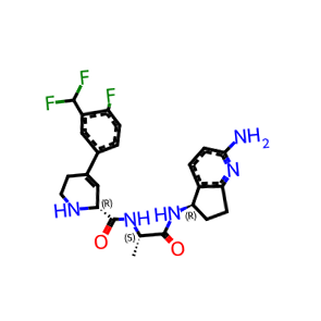 C[C@H](NC(=O)[C@H]1C=C(c2ccc(F)c(C(F)F)c2)CCN1)C(=O)N[C@@H]1CCc2nc(N)ccc21